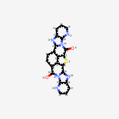 O=c1c2sc3c4c(ccc(c24)c2nc4cccnc4n12)c(=O)n1c2ncccc2nc31